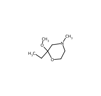 CCC1(OC)CN(C)CCO1